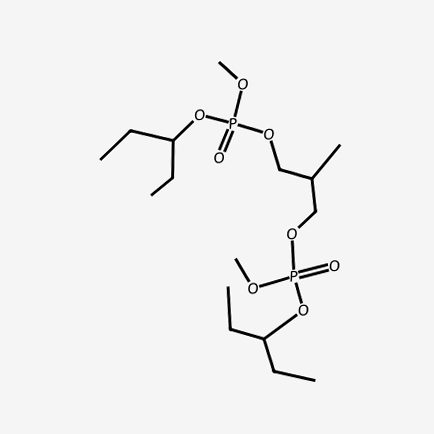 CCC(CC)OP(=O)(OC)OCC(C)COP(=O)(OC)OC(CC)CC